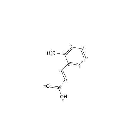 Cc1ccccc1C=CC(=O)O